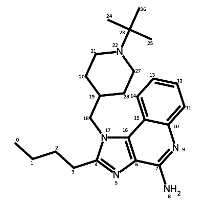 CCCCc1nc2c(N)nc3ccccc3c2n1CC1CCN(C(C)(C)C)CC1